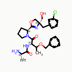 CCC[C@H](N)C(=O)N[C@H](C(=O)N1CCC[C@H]1C1=N[C@](CO)(Cc2cccc(Cl)c2)CO1)C(C)OCc1ccccc1